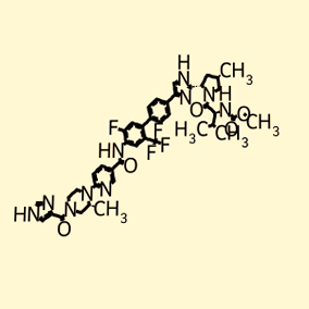 COC(=O)N[C@H](C(=O)N1C[C@@H](C)C[C@H]1c1nc(-c2ccc(-c3cc(F)c(NC(=O)c4ccc(N5CCN(C(=O)c6c[nH]cn6)C[C@H]5C)nc4)cc3C(F)(F)F)cc2)c[nH]1)C(C)C